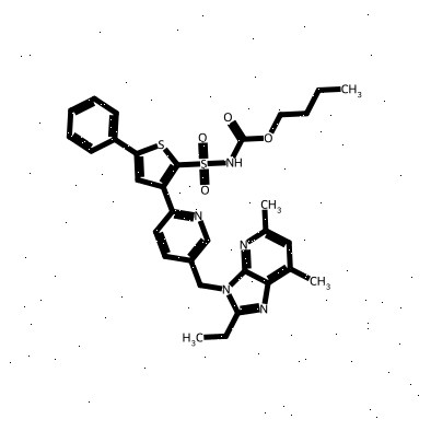 CCCCOC(=O)NS(=O)(=O)c1sc(-c2ccccc2)cc1-c1ccc(Cn2c(CC)nc3c(C)cc(C)nc32)cn1